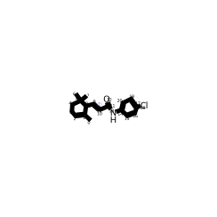 CC1=CCCC(C)(C)C1/C=C/C(=O)Nc1ccc(Cl)cc1